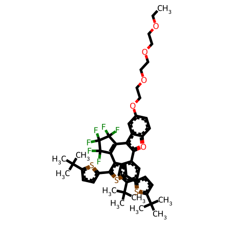 CCOCCOCCOCCOc1ccc2oc(-c3ccc(C(C)(C)C)cc3)c(C3=C(c4cc(-c5ccc(C(C)(C)C)s5)sc4-c4ccc(C(C)(C)C)s4)C(F)(F)C(F)(F)C3(F)F)c2c1